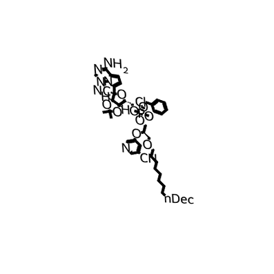 CCCCCCCCCCCCCCCCCCOC[C@H](COP(=O)(OC[C@H]1O[C@@](C#N)(c2ccc3c(N)ncnn23)[C@@H]2OC(C)(C)O[C@@H]21)Oc1ccccc1Cl)Oc1cncc(C#N)c1